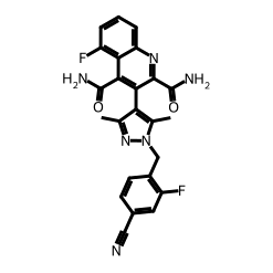 Cc1nn(Cc2ccc(C#N)cc2F)c(C)c1-c1c(C(N)=O)nc2cccc(F)c2c1C(N)=O